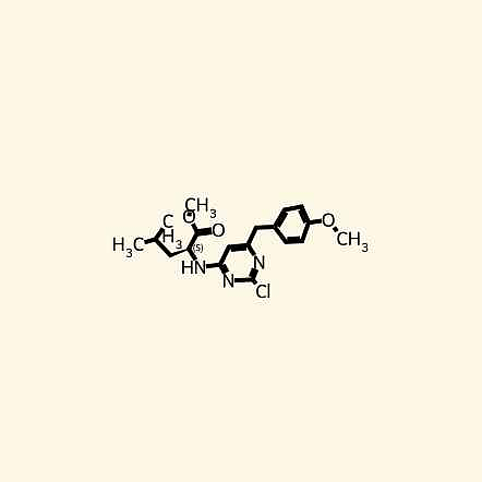 COC(=O)[C@H](CC(C)C)Nc1cc(Cc2ccc(OC)cc2)nc(Cl)n1